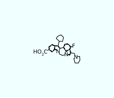 O=C(O)c1ccc2c(C3CCCCC3)c3n(c2c1)CCn1cc(CN2CCCCC2)c2c(F)ccc-3c21